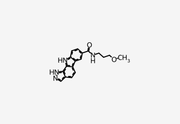 COCCCNC(=O)c1ccc2[nH]c3c(ccc4cn[nH]c43)c2c1